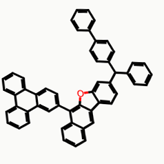 c1ccc(-c2ccc(C(c3ccccc3)c3ccc4c(c3)oc3c(-c5ccc6c7ccccc7c7ccccc7c6c5)c5ccccc5cc34)cc2)cc1